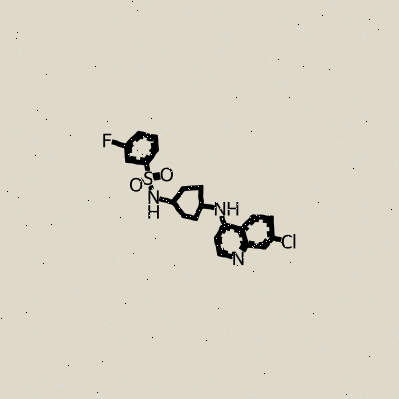 O=S(=O)(NC1CCC(Nc2ccnc3cc(Cl)ccc23)CC1)c1cccc(F)c1